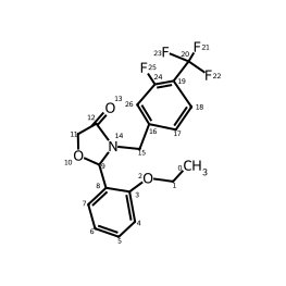 CCOc1ccccc1C1OCC(=O)N1Cc1ccc(C(F)(F)F)c(F)c1